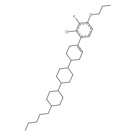 CCCCCC1CCC(C2CCC(C3CC=C(c4ccc(OCCC)c(F)c4Cl)CC3)CC2)CC1